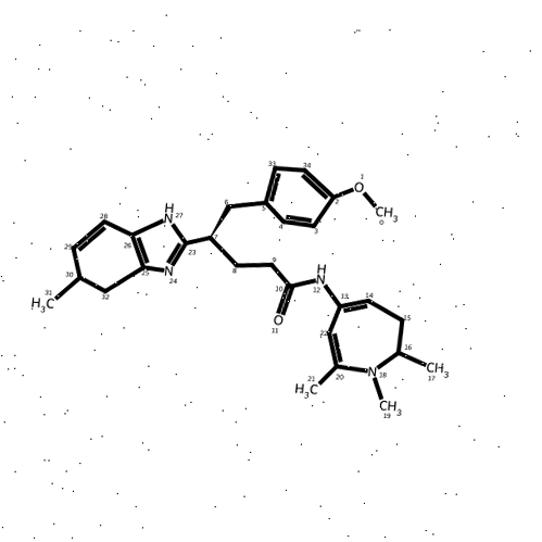 COc1ccc(C[C@@H](CCC(=O)NC2=CCC(C)N(C)C(C)=C2)c2nc3c([nH]2)C=CC(C)C3)cc1